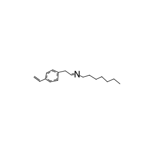 C=Cc1ccc(CC=NCCCCCCC)cc1